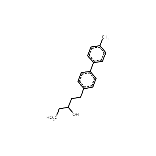 Cc1ccc(-c2ccc(CCC(O)CC(=O)O)cc2)cc1